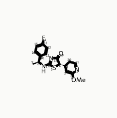 COC1=CC([C@@H]2SC(N[C@@H](C)c3ccc(F)cc3)=NC2=O)CC=N1